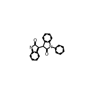 O=C1N=c2ccccc2=C1C1C(=O)N(c2ccccc2)c2ccccc21